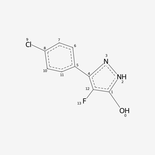 Oc1[nH]nc(-c2ccc(Cl)cc2)c1F